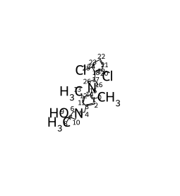 Cc1cc(CN2CC(C)(O)C2)cc(C)c1N1CC(c2c(Cl)cccc2Cl)C1